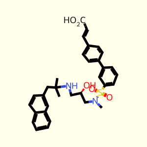 CN(C[C@H](O)CNC(C)(C)Cc1ccc2ccccc2c1)S(=O)(=O)c1cccc(-c2ccc(C=CC(=O)O)cc2)c1